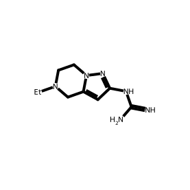 CCN1CCn2nc(NC(=N)N)cc2C1